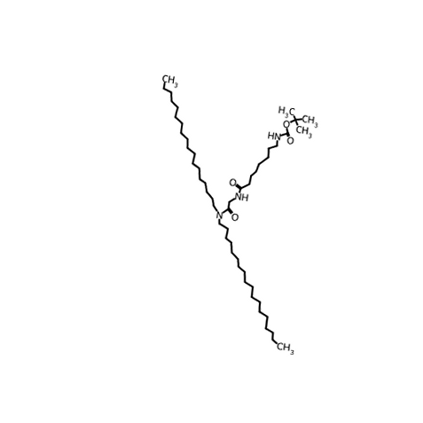 CCCCCCCCCCCCCCCCCCN(CCCCCCCCCCCCCCCCCC)C(=O)CNC(=O)CCCCCCCNC(=O)OC(C)(C)C